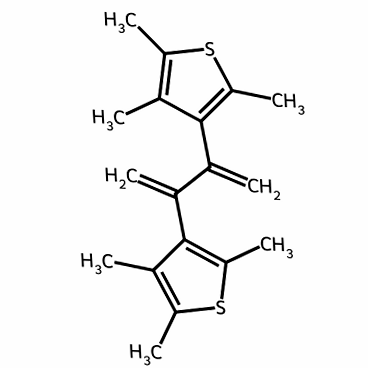 C=C(C(=C)c1c(C)sc(C)c1C)c1c(C)sc(C)c1C